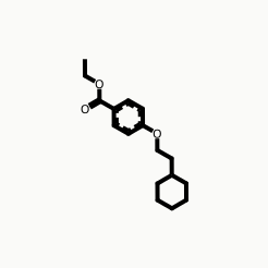 CCOC(=O)c1ccc(OCCC2CCCCC2)cc1